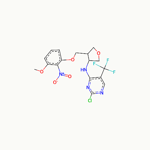 COc1cccc(OCC2COCC2Nc2nc(Cl)ncc2C(F)(F)F)c1[N+](=O)[O-]